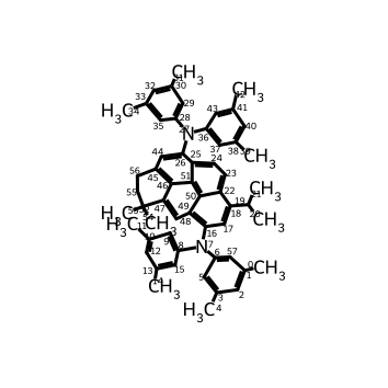 Cc1cc(C)cc(N(c2cc(C)cc(C)c2)c2cc(C(C)C)c3ccc4c(N(c5cc(C)cc(C)c5)c5cc(C)cc(C)c5)cc5c6c(cc2c3c46)C(C)(C)CC5)c1